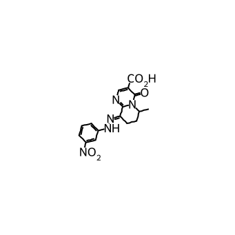 CC1CCC(=NNc2cccc([N+](=O)[O-])c2)c2ncc(C(=O)O)c(=O)n21